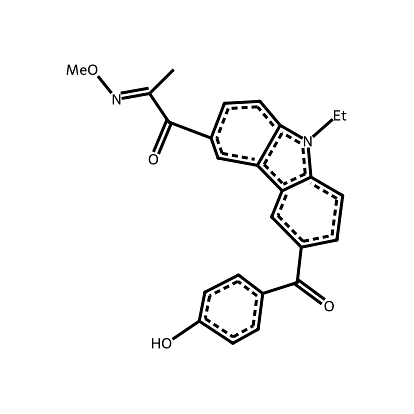 CCn1c2ccc(C(=O)/C(C)=N/OC)cc2c2cc(C(=O)c3ccc(O)cc3)ccc21